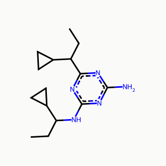 CCC(Nc1nc(N)nc(C(CC)C2CC2)n1)C1CC1